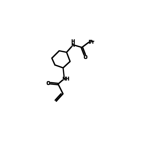 C=CC(=O)NC1CCCC(NC(=O)C(C)C)C1